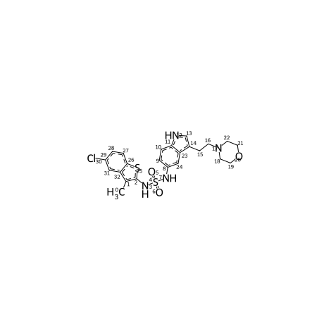 Cc1c(NS(=O)(=O)Nc2ccc3[nH]cc(CCN4CCOCC4)c3c2)sc2ccc(Cl)cc12